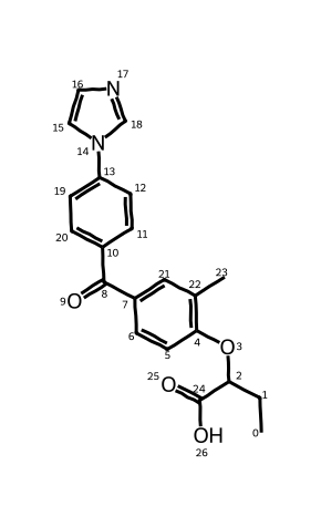 CCC(Oc1ccc(C(=O)c2ccc(-n3ccnc3)cc2)cc1C)C(=O)O